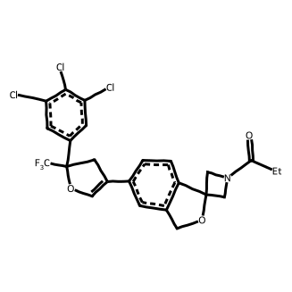 CCC(=O)N1CC2(C1)OCc1cc(C3=COC(c4cc(Cl)c(Cl)c(Cl)c4)(C(F)(F)F)C3)ccc12